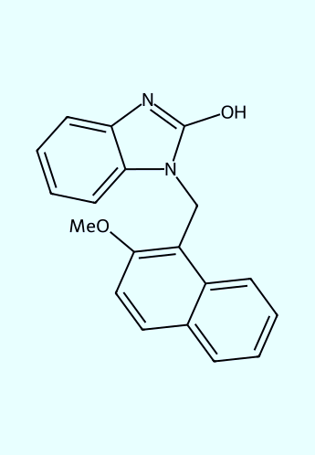 COc1ccc2ccccc2c1Cn1c(O)nc2ccccc21